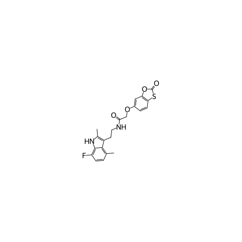 Cc1[nH]c2c(F)ccc(C)c2c1CCNC(=O)COc1ccc2sc(=O)oc2c1